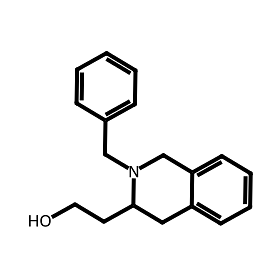 OCCC1Cc2ccccc2CN1Cc1ccccc1